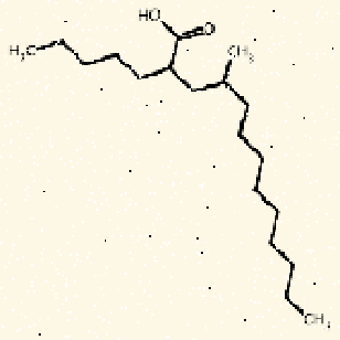 CCCCCCCCCC(C)CC(CCCCC)C(=O)O